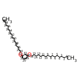 CCCCCCCCCCCCCCCCCOc1c[c]cc(OCCCCCCCCCCCCCCCCC)c1